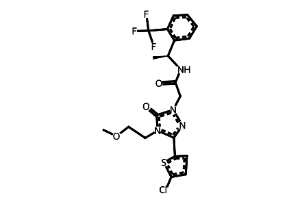 COCCn1c(-c2ccc(Cl)s2)nn(CC(=O)N[C@@H](C)c2ccccc2C(F)(F)F)c1=O